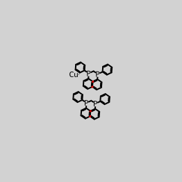 [Cu].c1ccc(P(CP(c2ccccc2)c2ccccc2)c2ccccc2)cc1.c1ccc(P(CP(c2ccccc2)c2ccccc2)c2ccccc2)cc1